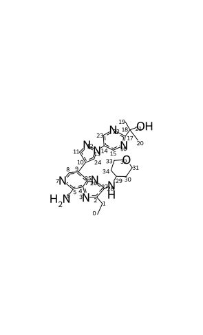 CCc1nc2c(N)ncc(-c3cnn(-c4cnc(C(C)(C)O)nc4)c3)c2nc1NC1CCOCC1